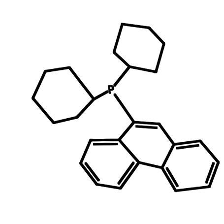 c1ccc2c(c1)cc(P(C1CCCCC1)C1CCCCC1)c1ccccc12